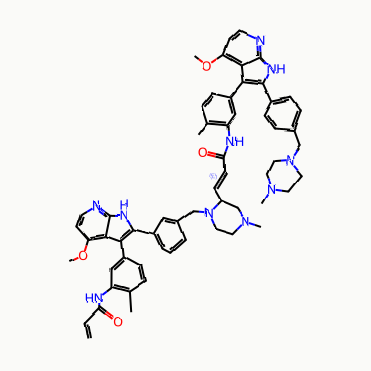 C=CC(=O)Nc1cc(-c2c(-c3cccc(CN4CCN(C)CC4/C=C/C(=O)Nc4cc(-c5c(-c6ccc(CN7CCN(C)CC7)cc6)[nH]c6nccc(OC)c56)ccc4C)c3)[nH]c3nccc(OC)c23)ccc1C